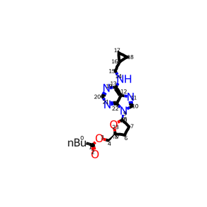 CCCCC(=O)OC[C@@H]1CC[C@H](n2cnc3c(NCC4CC4)ncnc32)O1